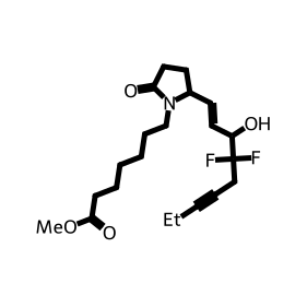 CCC#CCC(F)(F)C(O)/C=C/C1CCC(=O)N1CCCCCCC(=O)OC